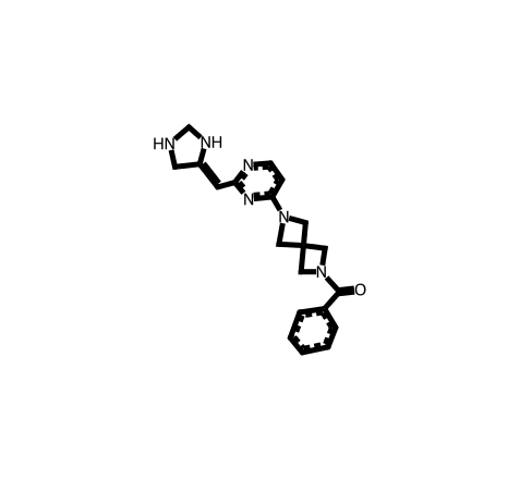 O=C(c1ccccc1)N1CC2(C1)CN(c1ccnc(C=C3CNCN3)n1)C2